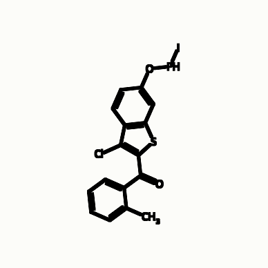 Cc1ccccc1C(=O)c1sc2cc(OPI)ccc2c1Cl